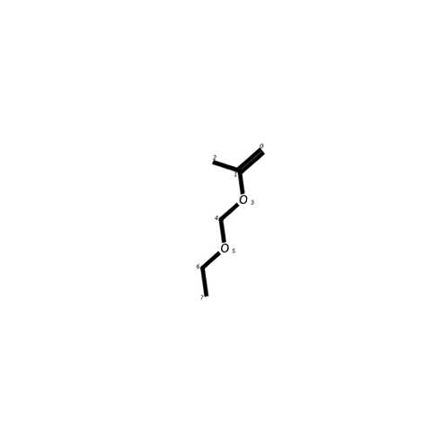 C=C(C)OCOCC